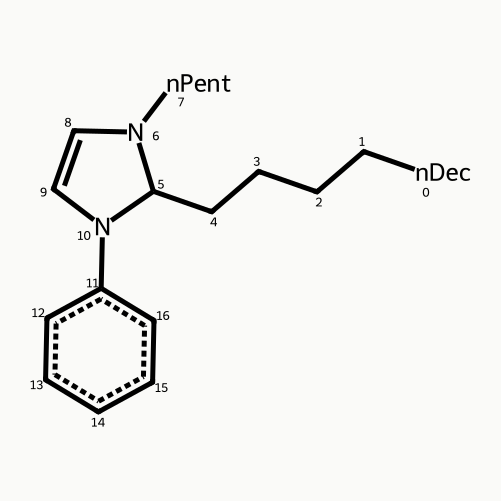 CCCCCCCCCCCCCCC1N(CCCCC)C=CN1c1ccccc1